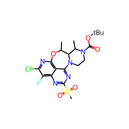 CC1Oc2nc(Cl)c(F)c3nc(S(C)(=O)=O)nc(c23)N2CCN(C(=O)OC(C)(C)C)C(C)C12